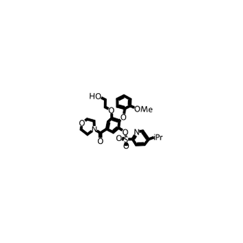 COc1ccccc1Oc1c(OCCO)cc(C(=O)N2CCOCC2)cc1OS(=O)(=O)c1ccc(C(C)C)cn1